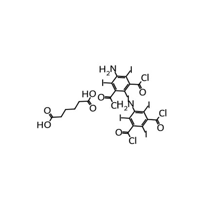 Nc1c(I)c(C(=O)Cl)c(I)c(C(=O)Cl)c1I.Nc1c(I)c(C(=O)Cl)c(I)c(C(=O)Cl)c1I.O=C(O)CCCCC(=O)O